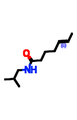 C/C=C/CCCC(=O)NCC(C)C